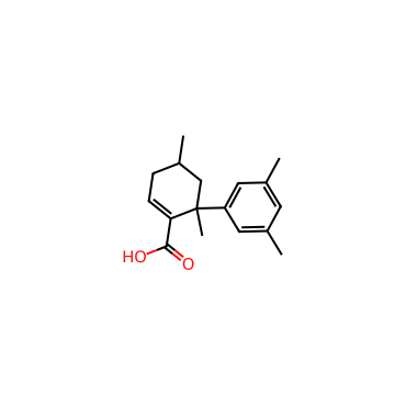 Cc1cc(C)cc(C2(C)CC(C)CC=C2C(=O)O)c1